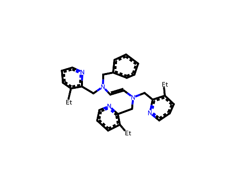 CCc1cccnc1CN(C=CN(Cc1ncccc1CC)Cc1ncccc1CC)Cc1ccccc1